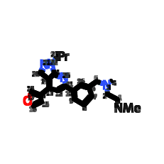 CNCCN(C)Cc1cccc(-c2cc(-c3ccoc3)c3cnn(C(C)C)c3n2)c1